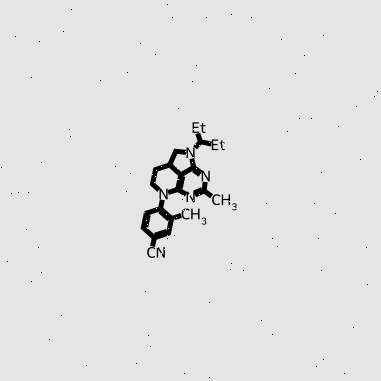 CCC(CC)N1CC2CCN(c3ccc(C#N)cc3C)c3nc(C)nc1c32